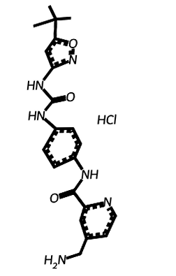 CC(C)(C)c1cc(NC(=O)Nc2ccc(NC(=O)c3cc(CN)ccn3)cc2)no1.Cl